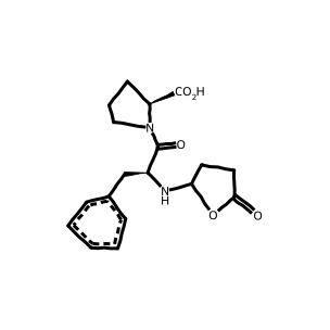 O=C1CCC(N[C@@H](Cc2ccccc2)C(=O)N2CCC[C@H]2C(=O)O)O1